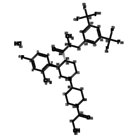 Cc1cc(F)ccc1[C@@H]1CN(C2CCN(C(=O)CO)CC2)CC[C@H]1C(=O)N(C)Cc1cc(C(F)(F)F)cc(C(F)(F)F)c1.Cl